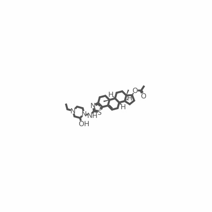 CCN1CCN(Nc2nc3c(s2)C2=CC[C@H]4[C@@H]5CC[C@H](OC(C)=O)[C@@]5(C)CC[C@@H]4[C@@]2(C)CC3)C(O)C1